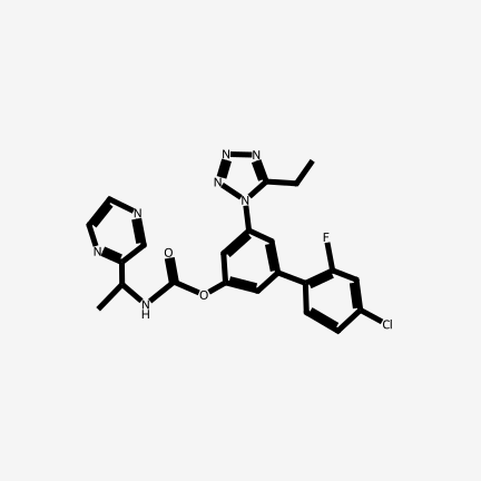 CCc1nnnn1-c1cc(OC(=O)NC(C)c2cnccn2)cc(-c2ccc(Cl)cc2F)c1